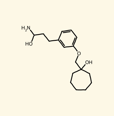 NC(O)CCc1cccc(OCC2(O)CCCCCC2)c1